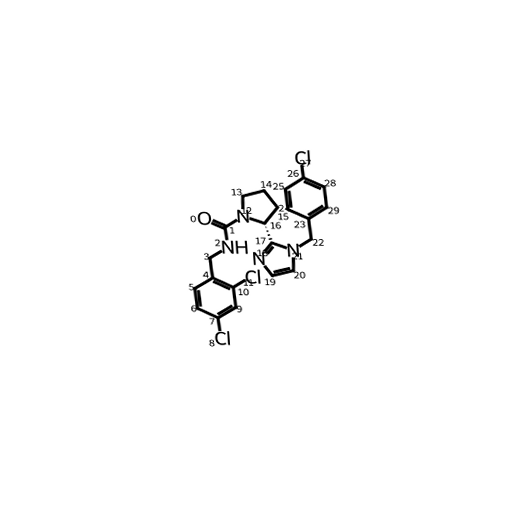 O=C(NCc1ccc(Cl)cc1Cl)N1CCC[C@@H]1c1nccn1Cc1ccc(Cl)cc1